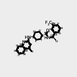 Cc1cc(N[C@H]2CC[C@@H](C(=O)N[C@H](C)c3cccc(C(F)(F)F)c3)CC2)nc2ccccc12